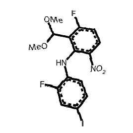 COC(OC)c1c(F)ccc([N+](=O)[O-])c1Nc1ccc(I)cc1F